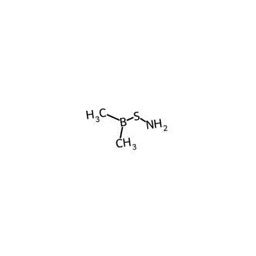 CB(C)SN